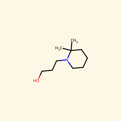 CC1(C)CCCCN1CCCO